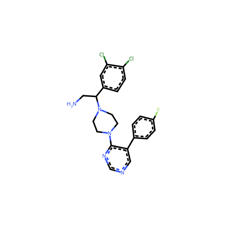 NCC(c1ccc(Cl)c(Cl)c1)N1CCN(c2ncncc2-c2ccc(F)cc2)CC1